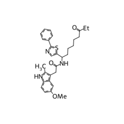 CCC(=O)CCCCCC(NC(=O)Cc1c(C)[nH]c2ccc(OC)cc12)c1cnc(-c2ccccc2)s1